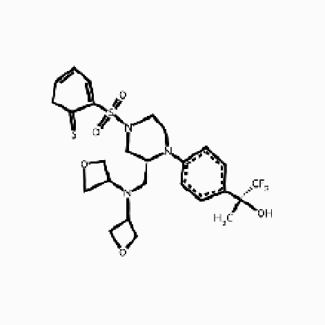 C[C@](O)(c1ccc(N2CCN(S(=O)(=O)C3=CC=CCC3=S)C[C@@H]2CN(C2COC2)C2COC2)cc1)C(F)(F)F